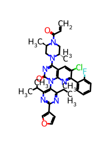 C=CC(=O)N1C[C@H](C)N(c2nc(=O)n(-c3c(C(C)C)nc(-c4ccoc4)nc3C(C)C)c3nc(-c4ccccc4F)c(Cl)cc23)C[C@H]1C